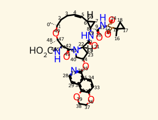 C[C@@H]1CCC=C[C@@H]2C[C@@]2(C(=O)NS(=O)(=O)C2(C)CC2)NC(=O)[C@@H]2C[C@@H](Oc3nccc4c5c(ccc34)OCCO5)CN2C(=O)[C@@H](NC(=O)O)[C@H](C)O1